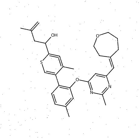 C=C(C)CC(O)C1=C=C(C)C(c2ccc(C)cc2Oc2cc(/C=C3/CCCOCC3)nc(C)n2)=CS1